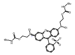 CCN(CCOC(=O)NC(C)(C)C)c1ccc2c(-c3ccccc3S(=O)(=O)[O-])c3cc/c(=[N+](/CC)CCOC(=O)NC(C)(C)C)cc-3oc2c1